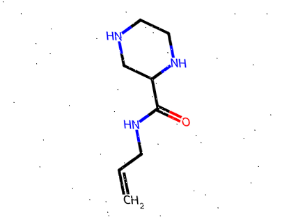 C=CCNC(=O)C1CNCCN1